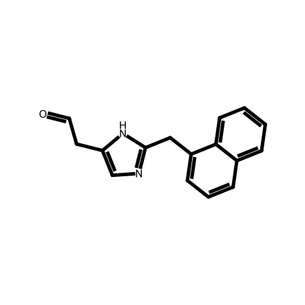 O=CCc1cnc(Cc2cccc3ccccc23)[nH]1